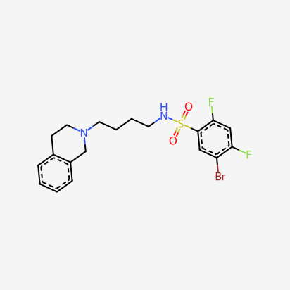 O=S(=O)(NCCCCN1CCc2ccccc2C1)c1cc(Br)c(F)cc1F